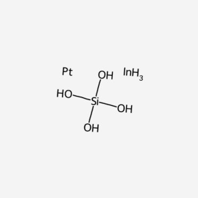 O[Si](O)(O)O.[InH3].[Pt]